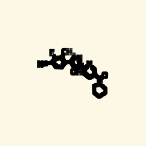 Cc1c(-c2cnn(-c3ccc(C(=O)N4CCCCC4)cn3)c2O)ccc(C#N)c1F